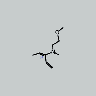 C=C/C(=C\C)N(C)CCOC